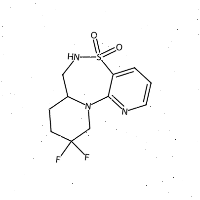 O=S1(=O)NCC2CCC(F)(F)CN2c2ncccc21